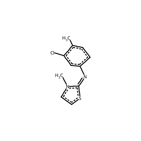 Cc1ccc(N=c2sccn2C)cc1Cl